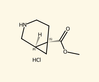 COC(=O)[C@@]12CCNC[C@@H]1C2.Cl